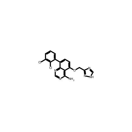 Nc1ncnc2c(-c3cccc(Cl)c3Cl)ccc(OCc3nc[nH]n3)c12